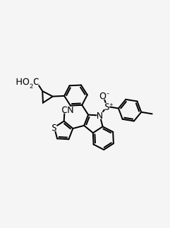 Cc1ccc([S+]([O-])n2c(-c3cccc(C4CC4C(=O)O)c3)c(-c3ccsc3C#N)c3ccccc32)cc1